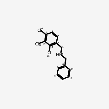 Clc1ccc(CN[CH]c2ccccc2)c(Cl)c1Cl